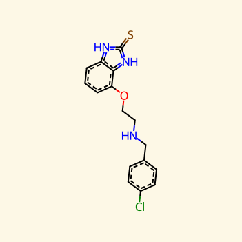 S=c1[nH]c2cccc(OCCNCc3ccc(Cl)cc3)c2[nH]1